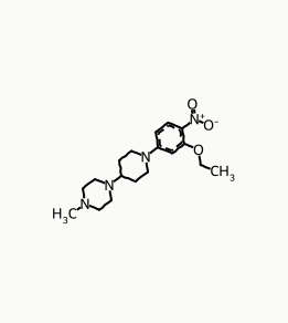 CCOc1cc(N2CCC(N3CCN(C)CC3)CC2)ccc1[N+](=O)[O-]